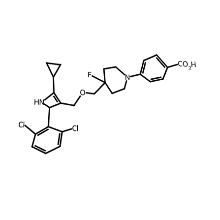 O=C(O)c1ccc(N2CCC(F)(COCC3=C(C4CC4)NC3c3c(Cl)cccc3Cl)CC2)cc1